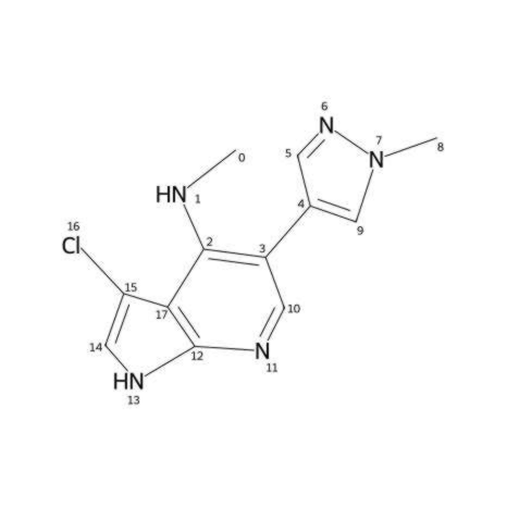 CNc1c(-c2cnn(C)c2)cnc2[nH]cc(Cl)c12